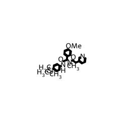 COc1ccc(C(C(=O)Nc2ccc([Si](C)(C)C)cc2)N(C)C(=O)Cc2cccnc2)cc1